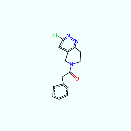 O=C(Cc1ccccc1)N1CCc2nnc(Cl)cc2C1